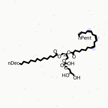 CCCCC/C=C\C/C=C\C/C=C\C/C=C\CCCCCC(=O)O[C@H](COC(=O)CCCCCCCCCCCCCCCCCCCCC)COP(=O)(O)OC[C@@H](O)CO